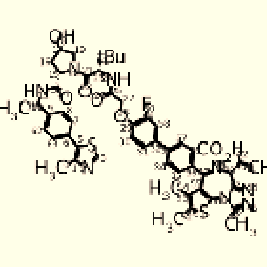 Cc1ncsc1-c1ccc([C@H](C)NC(=O)[C@@H]2C[C@@H](O)CN2C(=O)[C@@H](NC(=O)COc2ccc(-c3ccc(C4=N[C@@H](C(C)C(=O)O)c5nnc(C)n5-c5sc(C)c(C)c54)cc3)cc2F)C(C)(C)C)cc1